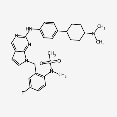 CN(C)C1CCC(c2ccc(Nc3ncc4ccn(Cc5cc(F)ccc5N(C)S(C)(=O)=O)c4n3)cc2)CC1